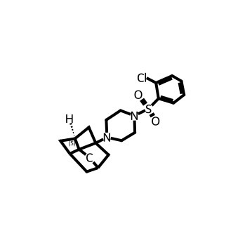 O=S(=O)(c1ccccc1Cl)N1CCN(C23CC4CC5C[C@@H](C2)C53C4)CC1